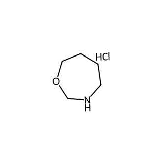 C1CCOCNC1.Cl